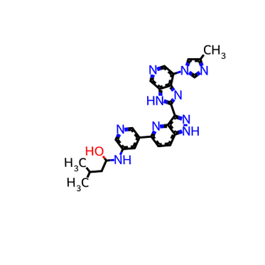 Cc1cn(-c2cncc3[nH]c(-c4n[nH]c5ccc(-c6cncc(NC(O)CC(C)C)c6)nc45)nc23)cn1